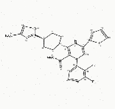 COC(=O)C1=C([C@H]2CC[C@H](c3nc(C(=O)O)co3)CC2)NC(c2nccs2)=NC1c1cccc(F)c1C